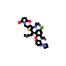 C=Nc1cc(CN2C(=O)CCC2=O)sc1/C(=C\C)c1cc(Cl)cc(C)c1O[C@H]1CC[C@H](N2CCC2)C1